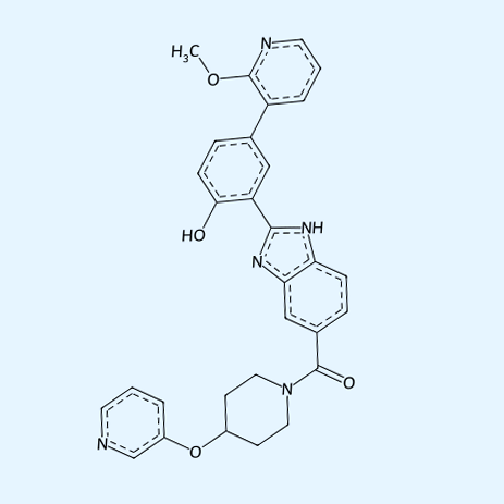 COc1ncccc1-c1ccc(O)c(-c2nc3cc(C(=O)N4CCC(Oc5cccnc5)CC4)ccc3[nH]2)c1